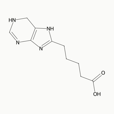 O=C(O)CCCCc1nc2c([nH]1)CNC=N2